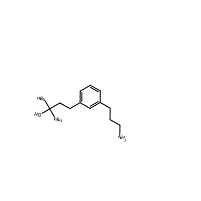 CCCCC(O)(CCCC)CCc1cccc(CCCN)c1